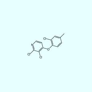 Cc1ccc(Oc2ccnc(Cl)c2Cl)c(Cl)c1